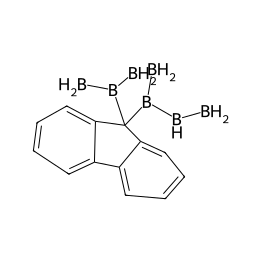 BBB(B)C1(B(B)B)c2ccccc2-c2ccccc21